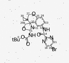 CC(C)(C)OC(=O)NC1=NC2(CO1)c1cc(NC(=O)c3ncc(Br)cn3)ccc1OCC21CC1